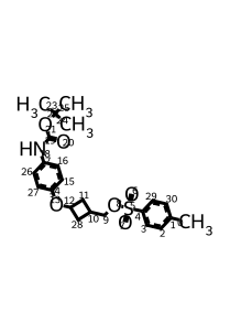 Cc1ccc(S(=O)(=O)OCC2CC(Oc3ccc(NC(=O)OC(C)(C)C)cc3)C2)cc1